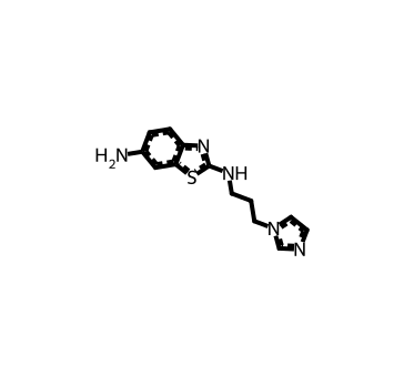 Nc1ccc2nc(NCCCn3ccnc3)sc2c1